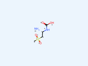 CS(=O)(=O)CCNC(=O)O.N